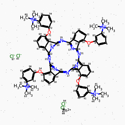 C[N+](C)(C)c1cccc(Oc2cccc3c2-c2nc-3nc3[n-]c(nc4nc(nc5[n-]c(n2)c2cccc(Oc6cccc([N+](C)(C)C)c6)c52)-c2cccc(Oc5cccc([N+](C)(C)C)c5)c2-4)c2cccc(Oc4cccc([N+](C)(C)C)c4)c32)c1.[Cl-].[Cl-].[Cl-].[Cl-].[Zn+2]